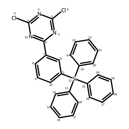 Clc1nc(Cl)nc(-c2cccc([Si](c3ccccc3)(c3ccccc3)c3ccccc3)c2)n1